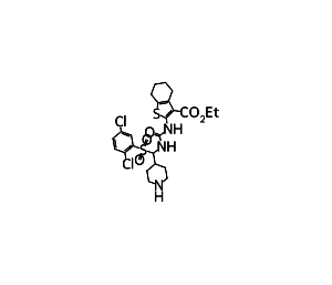 CCOC(=O)c1c(NC(=O)NC(C2CCNCC2)S(=O)(=O)c2cc(Cl)ccc2Cl)sc2c1CCCC2